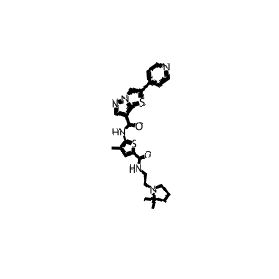 Cc1cc(C(=O)NCCN2CCCC2(C)C)sc1NC(=O)c1cnn2cc(-c3ccncc3)sc12